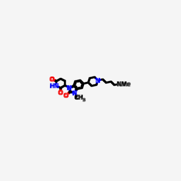 CNCCCCN1CCC(c2ccc3c(c2)n(C)c(=O)n3C2CCC(=O)NC2=O)CC1